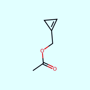 CC(=O)OCC1=CC1